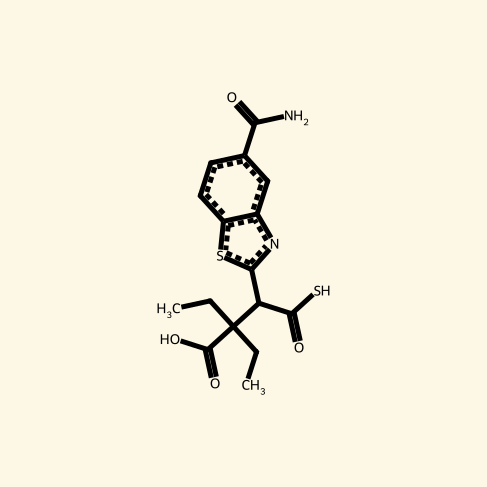 CCC(CC)(C(=O)O)C(C(=O)S)c1nc2cc(C(N)=O)ccc2s1